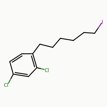 Clc1ccc(CCCCCCI)c(Cl)c1